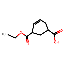 CCOC(=O)C1C=CCC(C(=O)O)C1